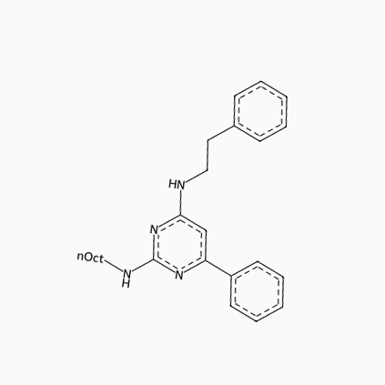 CCCCCCCCNc1nc(NCCc2ccccc2)cc(-c2ccccc2)n1